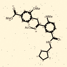 CNc1ccc(C(=O)NCC2CCCC2)cc1/C(Cc1ccc(C(=O)OC)cc1OC)=N/OC(C)=O